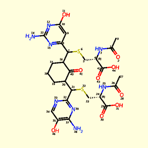 CC(=O)N[C@@H](CSC(c1cc(O)nc(N)n1)C1CCCC(C(SC[C@H](NC(C)=O)C(=O)O)c2ncc(O)c(N)n2)C1=O)C(=O)O